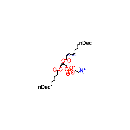 CCCCCCCCCCCCC/C=C\C=C/C(=O)O[C@H](COC(=O)CCCCCCCCCCCCCCC)COP(=O)([O-])OCC[N+](C)(C)C